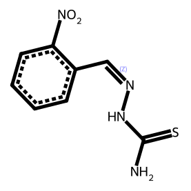 NC(=S)N/N=C\c1ccccc1[N+](=O)[O-]